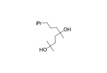 CC(C)CCCC(C)(O)CCC(C)(C)O